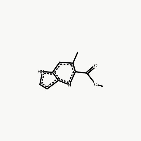 COC(=O)c1nc2cc[nH]c2cc1C